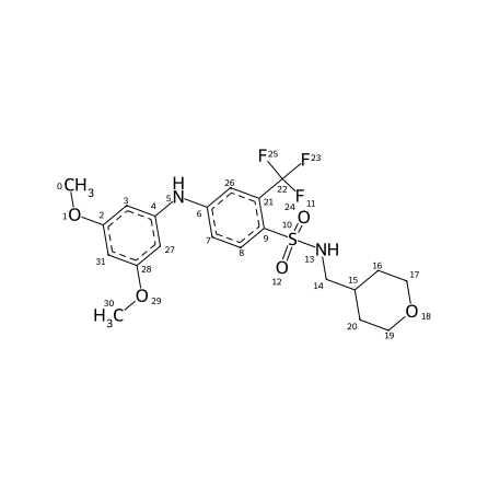 COc1cc(Nc2ccc(S(=O)(=O)NCC3CCOCC3)c(C(F)(F)F)c2)cc(OC)c1